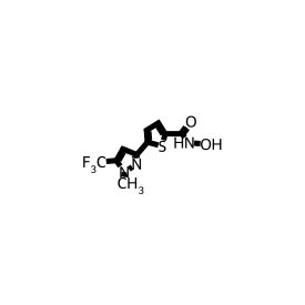 Cn1nc(-c2ccc(C(=O)NO)s2)cc1C(F)(F)F